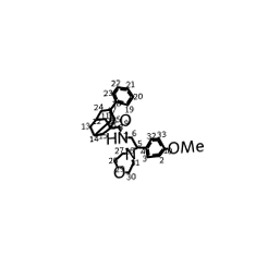 COc1ccc(C(CNC(=O)C23CC4CC(C2)CC(c2ccccc2)(C4)C3)N2CCOCC2)cc1